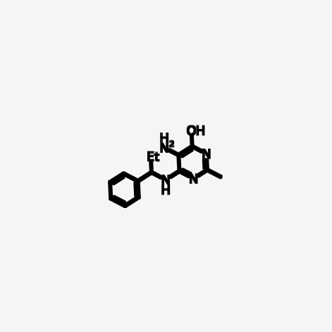 CCC(Nc1nc(C)nc(O)c1N)c1ccccc1